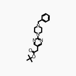 CC(C)(C)OC(=O)Cc1cnc(N2CCN(Cc3ccccc3)CC2)nc1